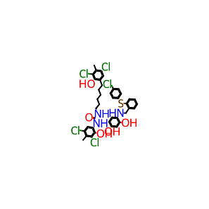 Cc1c(Cl)cc(CCCCCCNC(=O)Nc2cc(Cl)c(C)c(Cl)c2O)c(O)c1Cl.Oc1ccc(NCc2ccccc2Sc2ccc(Cl)cc2)c(O)c1